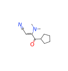 CN(C)C(=CC#N)C(=O)C1CCCC1